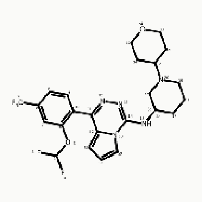 FC(F)Oc1cc(C(F)(F)F)ccc1-c1nnc(N[C@@H]2CCCN(C3CCOCC3)C2)n2cccc12